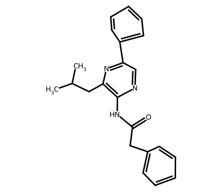 CC(C)Cc1nc(-c2ccccc2)cnc1NC(=O)Cc1ccccc1